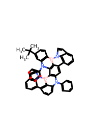 CC(C)(C)c1ccc2c(c1)N(c1ccccc1)c1c3c(cc4c1B1c5c(cccc5N4c4ccccc4)-c4cccc5ccn1c45)-c1cccc4ccn(c14)B23